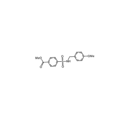 COC(=O)c1ccc(S(=O)(=O)NCc2ccc(OC)cc2)cc1